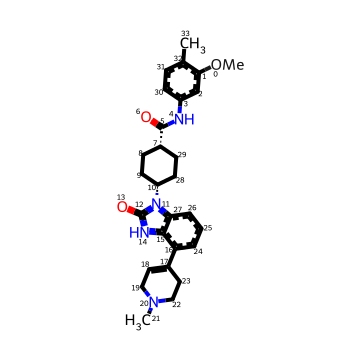 COc1cc(NC(=O)[C@H]2CC[C@@H](n3c(=O)[nH]c4c(C5=CCN(C)CC5)cccc43)CC2)ccc1C